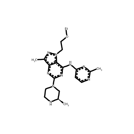 CCOCCn1nc(C)c2nc(N3CCN[C@H](C)C3)nc(Nc3ccnc(C)n3)c21